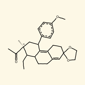 CCC1C2CCC3=CC4(CCC3=C2C(c2ccc(OC)cc2)C[C@]1(C)C(C)=O)OCCO4